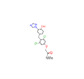 CNC(=O)COc1cc(Cl)c(Cc2ccc(O)c(-n3cncn3)c2)c(Cl)c1